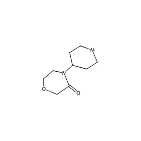 O=C1COCCN1C1CC[N]CC1